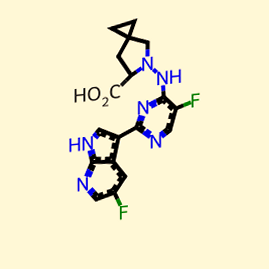 O=C(O)C1CC2(CC2)CN1Nc1nc(-c2c[nH]c3ncc(F)cc23)ncc1F